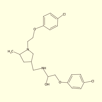 CC1CC(CNC(O)COc2ccc(Cl)cc2)CN1CCOc1ccc(Cl)cc1